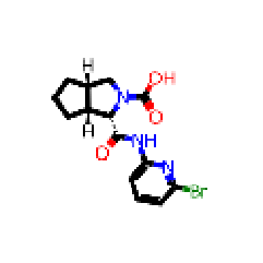 O=C(Nc1cccc(Br)n1)[C@@H]1[C@@H]2CCC[C@@H]2CN1C(=O)O